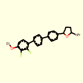 CCCC1CCC(c2ccc(-c3ccc(-c4ccc(OCC)c(F)c4F)cc3)cc2)O1